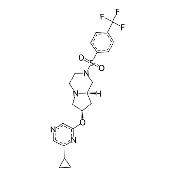 O=S(=O)(c1ccc(C(F)(F)F)cc1)N1CCN2C[C@H](Oc3cncc(C4CC4)n3)C[C@H]2C1